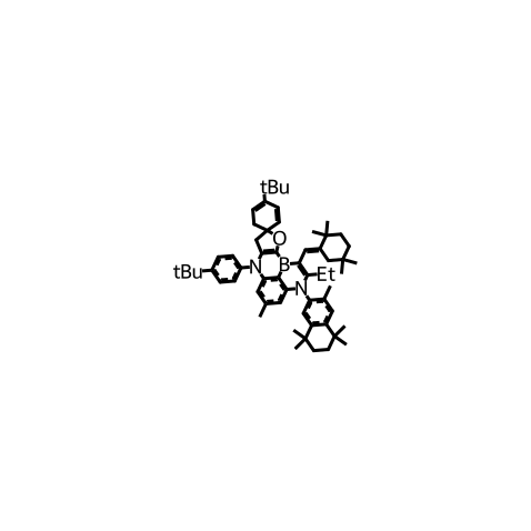 CCC1=C(/C=C2\CC(C)(C)CCC2(C)C)B2C3=C(CC4(C=CC(C(C)(C)C)=CC4)O3)N(c3ccc(C(C)(C)C)cc3)c3cc(C)cc(c32)N1c1cc2c(cc1C)C(C)(C)CCC2(C)C